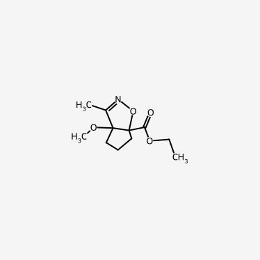 CCOC(=O)C12CCCC1(OC)C(C)=NO2